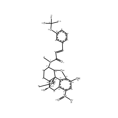 CN(C(=O)/C=C/c1cccc(OC(F)(F)F)c1)C1CC[C@@]2(O)[C@H]3Cc4c([N+](=O)[O-])cc(O)c5c4[C@@]2(CCN3C)C1O5